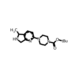 CC1NCc2nc(N3CCN(C(=O)OC(C)(C)C)CC3)ccc21